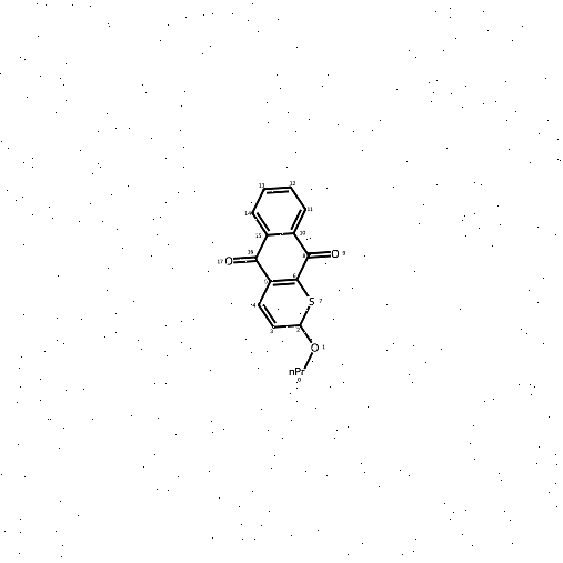 CCCOC1C=CC2=C(S1)C(=O)c1ccccc1C2=O